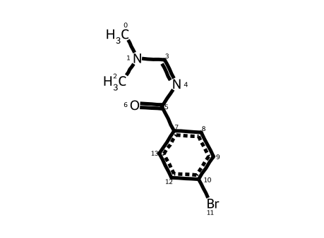 CN(C)/C=N\C(=O)c1ccc(Br)cc1